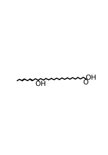 CCC=CCC=CCC(O)CCCCCCCCCCCCCCCCCC(=O)O